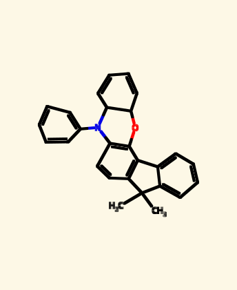 CC1(C)c2ccccc2-c2c1ccc1c2OC2C=CC=CC2N1c1ccccc1